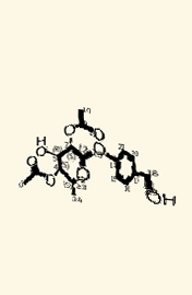 CC(=O)O[C@H]1[C@@H](O)[C@H](OC(C)=O)C(Oc2ccc(CO)cc2)O[C@H]1C